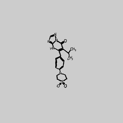 CC(C)c1c(-c2ccc(N3CCS(=O)(=O)CC3)cc2)[nH]c2ncnn2c1=O